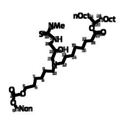 CCCCCCCCCOC(=O)OCCCCCCN(CCCCCCCC(=O)OC(CCCCCCCC)CCCCCCCC)CC(O)CNC(=S)NC